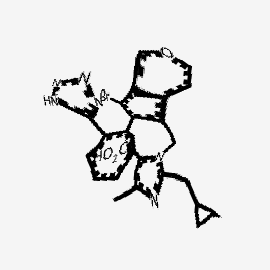 Cc1nc(CC2CC2)n(Cc2c3ccocc-3c(Br)c2-c2ccccc2-c2nnn[nH]2)c1C(=O)O